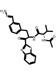 CC(=O)N[C@H](C(=O)NC(Cc1cccc(C=NN)c1)C(=O)c1nc2ccccc2s1)C(C)C